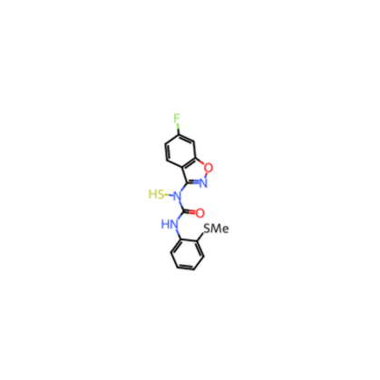 CSc1ccccc1NC(=O)N(S)c1noc2cc(F)ccc12